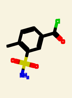 Cc1ccc(C(=O)Cl)cc1S(N)(=O)=O